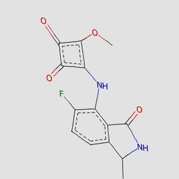 COc1c(Nc2c(F)ccc3c2C(=O)NC3C)c(=O)c1=O